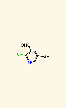 CC(=O)c1cnc(Cl)c(C=O)c1